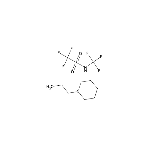 CCCN1CCCCC1.O=S(=O)(NC(F)(F)F)C(F)(F)F